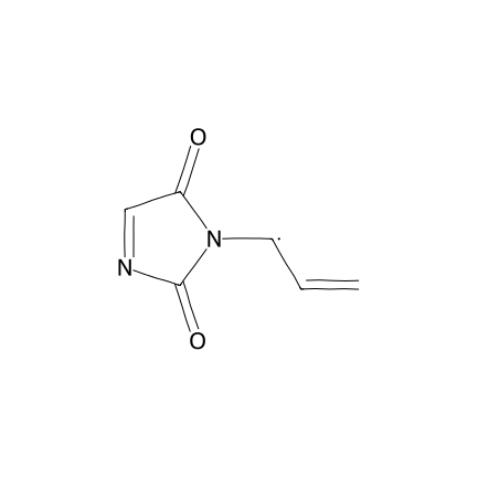 C=C[CH]N1C(=O)C=NC1=O